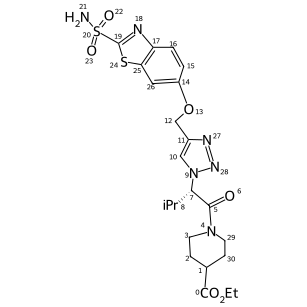 CCOC(=O)C1CCN(C(=O)[C@H](C(C)C)n2cc(COc3ccc4nc(S(N)(=O)=O)sc4c3)nn2)CC1